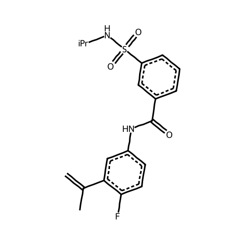 C=C(C)c1cc(NC(=O)c2cccc(S(=O)(=O)NC(C)C)c2)ccc1F